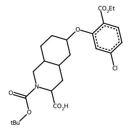 CCOC(=O)c1ccc(Cl)cc1OC1CCC2CN(C(=O)OC(C)(C)C)C(C(=O)O)CC2C1